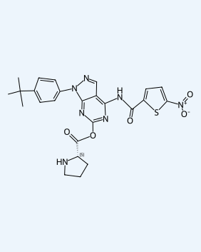 CC(C)(C)c1ccc(-n2ncc3c(NC(=O)c4ccc([N+](=O)[O-])s4)nc(OC(=O)[C@@H]4CCCN4)nc32)cc1